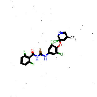 O=C(NC(=S)Nc1cc(Cl)c(OC2(Cl)C=C(C(F)(F)F)C=NC2)c(Cl)c1)c1c(F)cccc1F